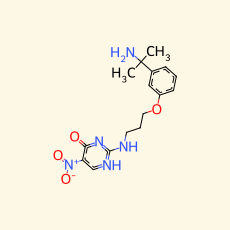 CC(C)(N)c1cccc(OCCCNc2nc(=O)c([N+](=O)[O-])c[nH]2)c1